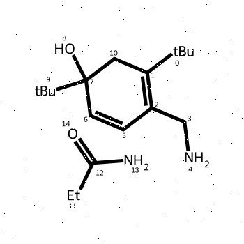 CC(C)(C)C1=C(CN)C=CC(O)(C(C)(C)C)C1.CCC(N)=O